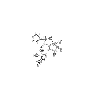 O=C(Nc1ccccc1)c1cc(Br)c(Br)c(Br)c1O.O=P(O)(O)O.[Zn].[Zn]